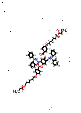 C=CC(=O)OCCCCCCOc1ccc(C(=O)Oc2cc(/C=N/N(c3ccccc3)c3ccccc3)c(OC(=O)c3ccc(OCCCCCCOC(=O)C=C)cc3)cc2/C=N/N(c2ccccc2)c2ccccc2)cc1